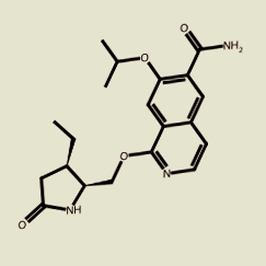 CC[C@@H]1CC(=O)N[C@@H]1COc1nccc2cc(C(N)=O)c(OC(C)C)cc12